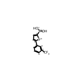 OB(O)c1ccc(-c2cccc(C(F)(F)F)c2)s1